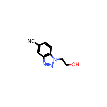 N#Cc1ccc2c(c1)nnn2CCO